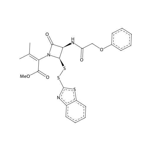 COC(=O)C(=C(C)C)N1C(=O)[C@@H](NC(=O)COc2ccccc2)[C@H]1SSc1nc2ccccc2s1